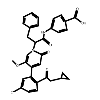 COc1cn(C(Cc2ccccc2)C(=O)Nc2ccc(C(=O)O)cc2)c(=O)cc1-c1cc(Cl)ccc1C(=O)CC1CC1